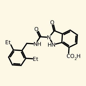 CCc1cccc(CC)c1CNC(=O)n1[nH]c2c(C(=O)O)cccc2c1=O